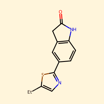 CCc1cnc(-c2ccc3c(c2)CC(=O)N3)s1